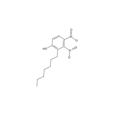 CCCCCCCc1c(O)ccc([N+](=O)[O-])c1[N+](=O)[O-]